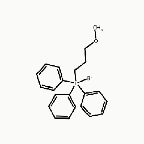 COCCCP(Br)(c1ccccc1)(c1ccccc1)c1ccccc1